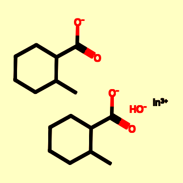 CC1CCCCC1C(=O)[O-].CC1CCCCC1C(=O)[O-].[In+3].[OH-]